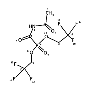 CC(=O)NC(=O)P(=O)(OCC(F)(F)F)OCC(F)(F)F